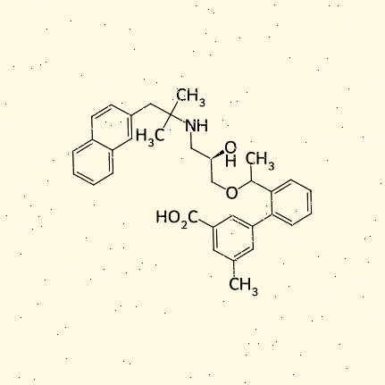 Cc1cc(C(=O)O)cc(-c2ccccc2C(C)OC[C@H](O)CNC(C)(C)Cc2ccc3ccccc3c2)c1